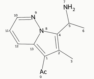 CC(=O)c1c(C)c(C(C)N)n2ncccc12